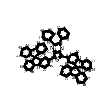 c1ccc(-c2nc3c(-c4ccc5c(c4)C4(c6ccccc6-c6ccccc64)c4ccccc4-5)sc(-c4ccc5c(c4)C4(c6ccccc6-c6ccccc64)c4ccccc4-5)c3nc2-c2ccccc2)cc1